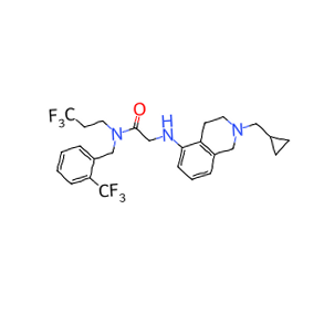 O=C(CNc1cccc2c1CCN(CC1CC1)C2)N(CCC(F)(F)F)Cc1ccccc1C(F)(F)F